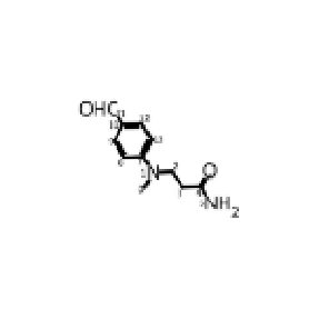 CN(CCC(N)=O)c1ccc(C=O)cc1